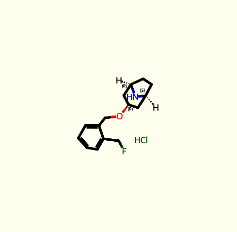 Cl.FCc1ccccc1CO[C@H]1C[C@H]2CC[C@@H](C1)N2